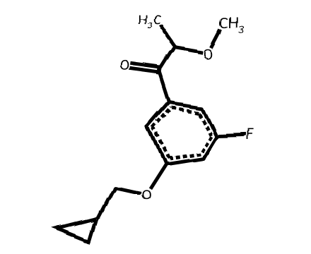 COC(C)C(=O)c1cc(F)cc(OCC2CC2)c1